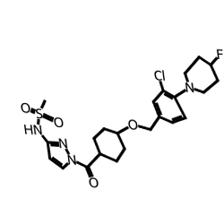 CS(=O)(=O)Nc1ccn(C(=O)C2CCC(OCc3ccc(N4CCC(F)CC4)c(Cl)c3)CC2)n1